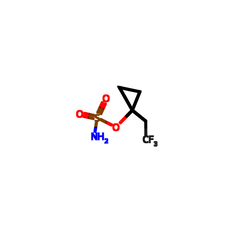 NS(=O)(=O)OC1(CC(F)(F)F)CC1